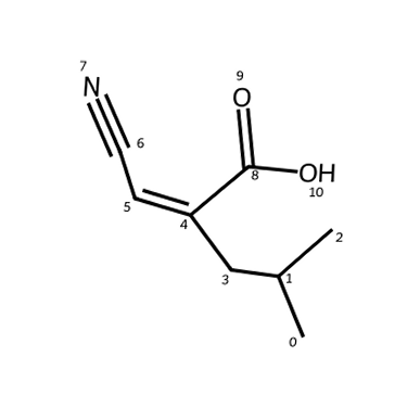 CC(C)C/C(=C/C#N)C(=O)O